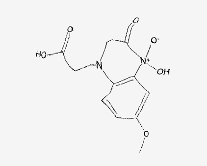 COc1ccc2c(c1)[N+]([O-])(O)C(=O)CN2CC(=O)O